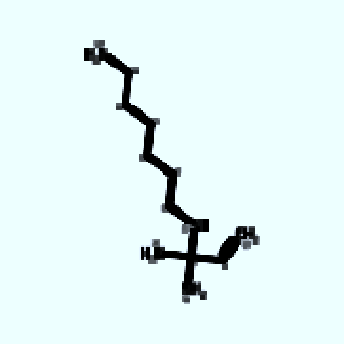 C=CC(N)(N)NCCCCCCN